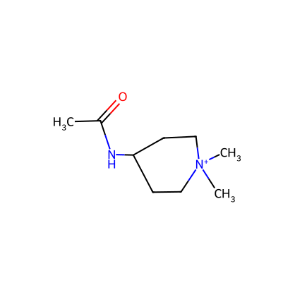 CC(=O)NC1CC[N+](C)(C)CC1